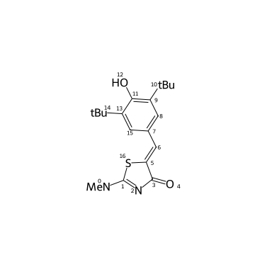 CNC1=NC(=O)C(=Cc2cc(C(C)(C)C)c(O)c(C(C)(C)C)c2)S1